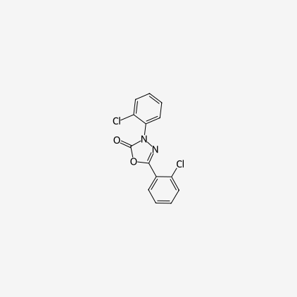 O=c1oc(-c2ccccc2Cl)nn1-c1ccccc1Cl